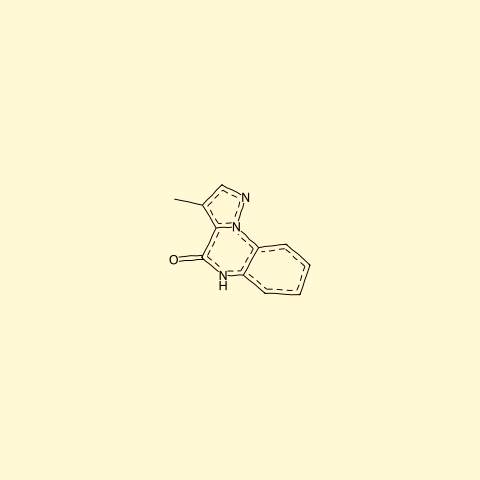 Cc1cnn2c1c(=O)[nH]c1ccccc12